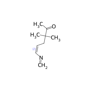 C=N/C=C\CC(C)(C)C(C)=O